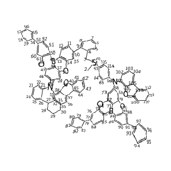 C[Si](C)(Cc1ccccc1-c1ccc2c(c1)Oc1cc(N(c3ccccc3C3CCCCC3)c3cccc4c3oc3ccccc34)cc3c1B2c1ccc(-c2ccccc2)cc1O3)c1ccc(N(c2cc3c4c(c2)Oc2cc(-c5ccccc5)ccc2B4c2ccc(-c4ccccc4)cc2O3)c2cccc3c2oc2ccccc23)cc1